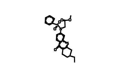 CCC1CCc2c(sc3cc(N(CC(=O)OC)S(=O)(=O)c4ccccc4)ccc3c2=O)C1